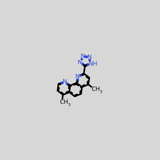 Cc1ccnc2c1ccc1c(C)cc(-c3nnn[nH]3)nc12